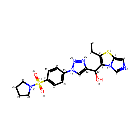 CCc1sc2cncn2c1C(O)c1cn(-c2ccc(S(=O)(=O)N3CCCC3)cc2)nn1